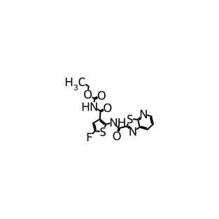 CCOC(=O)NC(=O)c1cc(F)sc1NC(=O)c1nc2cccnc2s1